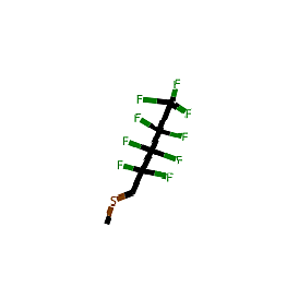 CSCC(F)(F)C(F)(F)C(F)(F)C(F)(F)F